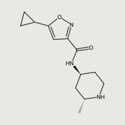 C[C@@H]1C[C@@H](NC(=O)c2cc(C3CC3)on2)CCN1